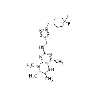 C=C1Nc2c(C)nc(NCc3cnn(CC4CCC(F)(F)CC4)c3)nc2N(C)[C@H]1C